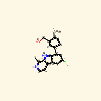 COc1ccc(-c2cc(Cl)cc3c2[nH]c2c(C)nccc23)cc1CO